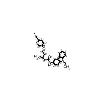 CCn1c2ccccc2c2cc(NC(=O)CC(C)CCOc3ccc(C#N)nc3)ccc21